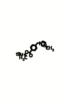 C[C@@H](OC(=O)c1ccc(C[n+]2ccn(C)c2)cc1)C(C)(C)C